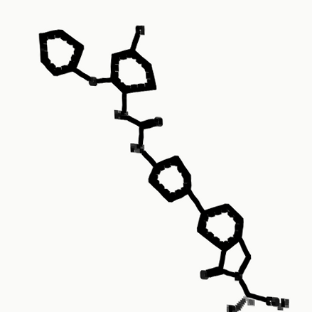 CC(C)[C@@H](C(=O)O)N1Cc2ccc(-c3ccc(NC(=O)Nc4ccc(Cl)cc4Oc4ccccc4)cc3)cc2C1=O